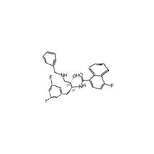 O=C(N[C@@H](Cc1cc(F)cc(F)c1)[C@@H](O)CNCc1ccccc1)c1ccc(F)c2ccccc12